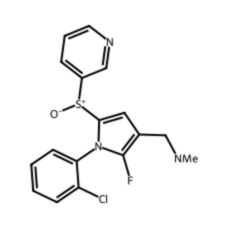 CNCc1cc([S+]([O-])c2cccnc2)n(-c2ccccc2Cl)c1F